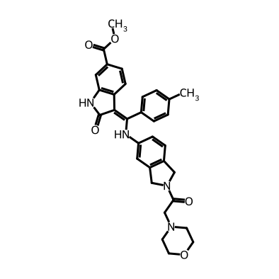 COC(=O)c1ccc2c(c1)NC(=O)/C2=C(\Nc1ccc2c(c1)CN(C(=O)CN1CCOCC1)C2)c1ccc(C)cc1